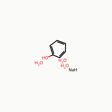 O.O.O.Oc1ccccc1.[NaH]